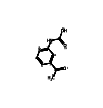 CC(=O)c1ccnc(NC(=O)O)c1